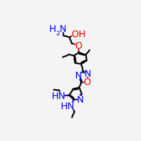 CCNc1cc(-c2nc(-c3cc(C)c(OCC(O)CN)c(CC)c3)no2)cnc1NCC